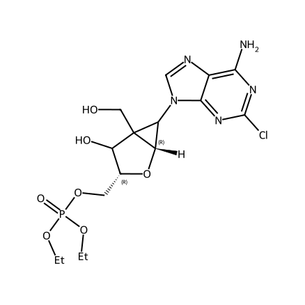 CCOP(=O)(OCC)OC[C@H]1O[C@H]2C(n3cnc4c(N)nc(Cl)nc43)C2(CO)C1O